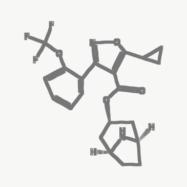 O=C(O[C@H]1C[C@H]2CC[C@@H](C1)N2)c1c(-c2ccccc2OC(F)(F)F)noc1C1CC1